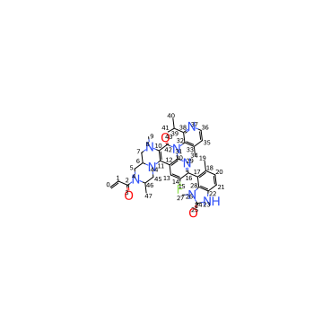 C=CC(=O)N1CC2CN(C)c3c(c4cc(F)c(-c5c(C)ccc6[nH]c(=O)n(C)c56)nc4n(-c4c(C)ccnc4C(C)C)c3=O)N2CC1C